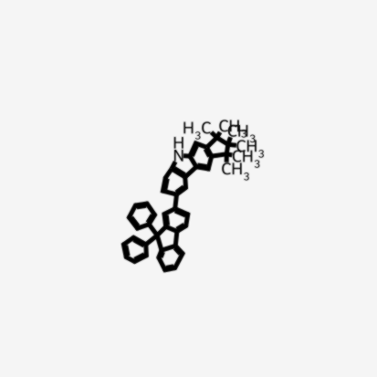 CC1(C)c2cc3[nH]c4ccc(-c5ccc6c(c5)C(c5ccccc5)(c5ccccc5)c5ccccc5-6)cc4c3cc2C(C)(C)C1(C)C